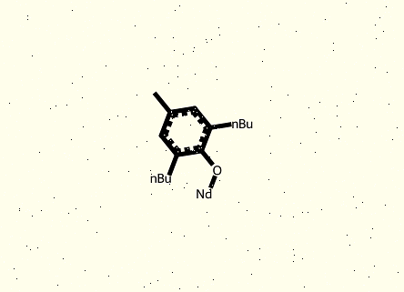 CCCCc1cc(C)cc(CCCC)c1[O][Nd]